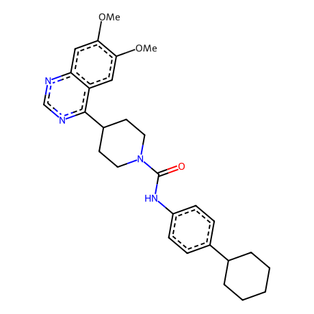 COc1cc2ncnc(C3CCN(C(=O)Nc4ccc(C5CCCCC5)cc4)CC3)c2cc1OC